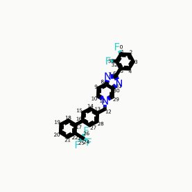 Fc1cccc(-c2nc3ccn(Cc4ccc(-c5ccccc5C(F)(F)F)cc4)cc-3n2)c1F